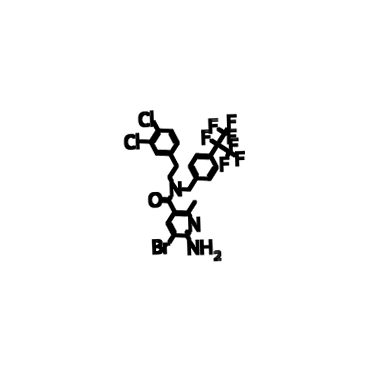 Cc1nc(N)c(Br)cc1C(=O)N(CCc1ccc(Cl)c(Cl)c1)Cc1ccc(C(F)(C(F)(F)F)C(F)(F)F)cc1